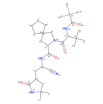 CC1(C)CC(CC(C#N)NC(=O)C2C[Si]3(CCCC3)CN2C(=O)C(NC(=O)C(F)(F)F)C(C)(C)C)C(=O)N1